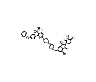 NC(=O)c1ccc(N2CCC(N3CCN(Cc4cc(Br)c5c(c4)C(=O)N(C4CCC(=O)NC4=O)C5=O)CC3)CC2)nc1-c1ccc(Oc2ccccc2)cc1